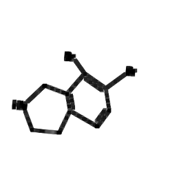 Brc1ccc2c(c1Br)CNCC2